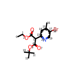 CCOC(=O)C(C(=O)OC(C)(C)C)c1cc(C)c(Br)cn1